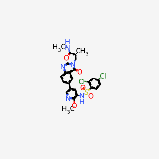 CNC(=O)[C@@H](C)Cn1cnc2ccc(-c3cnc(OC)c(NS(=O)(=O)c4ccc(Cl)cc4Cl)c3)cc2c1=O